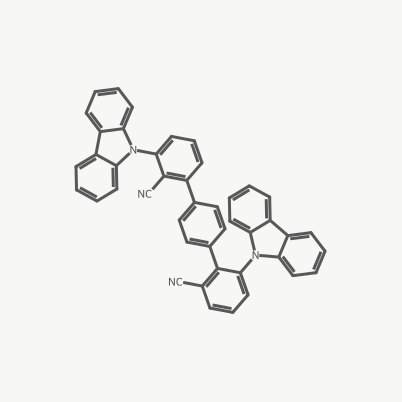 N#Cc1cccc(-n2c3ccccc3c3ccccc32)c1-c1ccc(-c2cccc(-n3c4ccccc4c4ccccc43)c2C#N)cc1